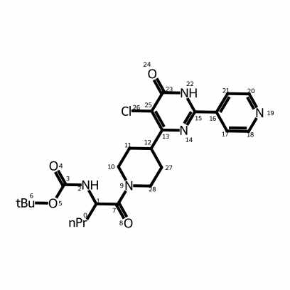 CCCC(NC(=O)OC(C)(C)C)C(=O)N1CCC(c2nc(-c3ccncc3)[nH]c(=O)c2Cl)CC1